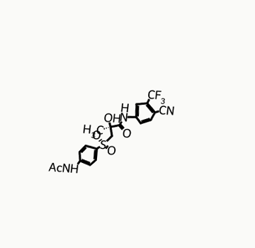 CC(=O)Nc1ccc(S(=O)(=O)C[C@@](C)(O)C(=O)Nc2ccc(C#N)c(C(F)(F)F)c2)cc1